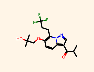 CC(C)C(=O)c1cnn2c(CCC(F)(F)F)c(OCC(C)(C)O)ccc12